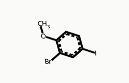 COc1ccc(I)cc1Br